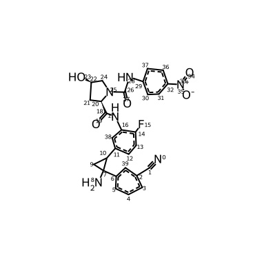 N#Cc1cccc(C2(N)CC2c2ccc(F)c(NC(=O)[C@H]3C[C@@H](O)CN3C(=O)Nc3ccc([N+](=O)[O-])cc3)c2)c1